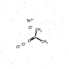 CS(C)=O.[Cl-].[Cl-].[Cl-].[Tb+3]